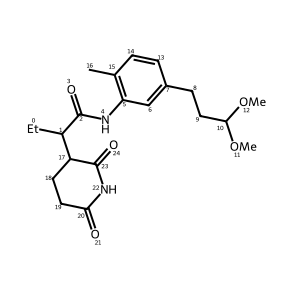 CCC(C(=O)Nc1cc(CCC(OC)OC)ccc1C)C1CCC(=O)NC1=O